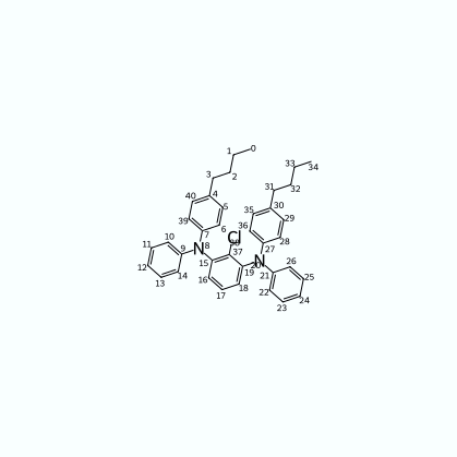 CCCCc1ccc(N(c2ccccc2)c2cccc(N(c3ccccc3)c3ccc(CCCC)cc3)c2Cl)cc1